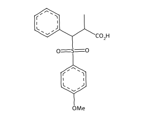 COc1ccc(S(=O)(=O)C(c2ccccc2)C(C)C(=O)O)cc1